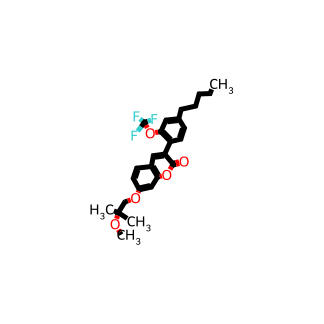 CCCCCc1ccc(-c2cc3ccc(OCC(C)(C)OC)cc3oc2=O)c(OC(F)(F)F)c1